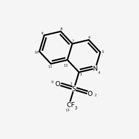 O=S(=O)(c1nccc2ccccc12)C(F)(F)F